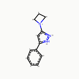 c1ccc(-c2cc(N3CCC3)n[nH]2)cc1